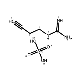 C#CCCNC(=N)N.O=S(=O)(O)O